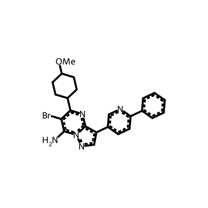 COC1CCC(c2nc3c(-c4ccc(-c5ccccc5)nc4)cnn3c(N)c2Br)CC1